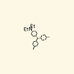 C=c1ccc(=C(c2ccc(C)cc2)c2ccc(N(CC)CC)cc2)cc1